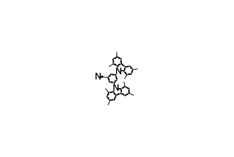 Cc1cc(C)c2c(c1)c1cc(C)cc(C)c1n2-c1cc(C#N)cc(-n2c3c(C)cc(C)cc3c3cc(C)cc(C)c32)c1